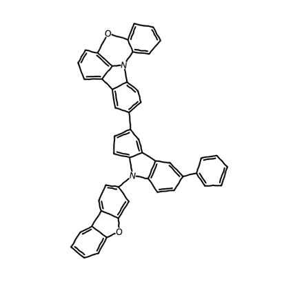 c1ccc(-c2ccc3c(c2)c2cc(-c4ccc5c(c4)c4cccc6c4n5-c4ccccc4O6)ccc2n3-c2ccc3c(c2)oc2ccccc23)cc1